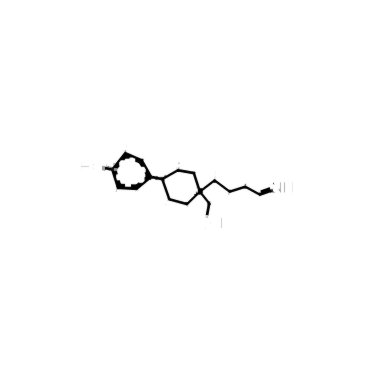 N=CCCCC1(CO)CCC(c2ccc(O)cc2)CC1